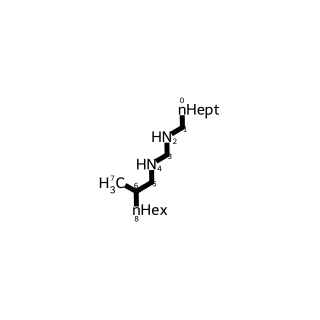 CCCCCCCCNCNCC(C)CCCCCC